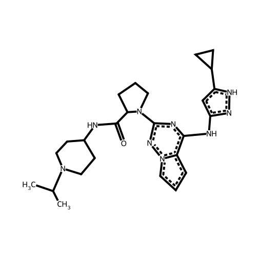 CC(C)N1CCC(NC(=O)C2CCCN2c2nc(Nc3cc(C4CC4)[nH]n3)c3cccn3n2)CC1